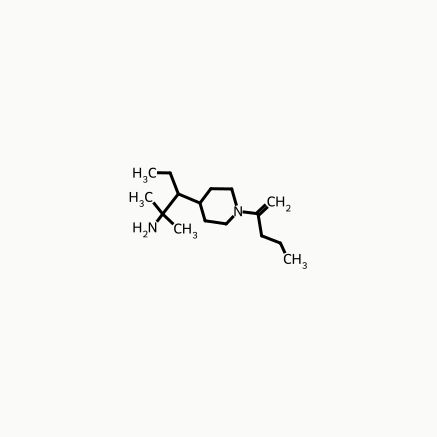 C=C(CCC)N1CCC(C(CC)C(C)(C)N)CC1